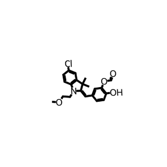 COCCN1/C(=C/c2ccc(O)c(OC=O)c2)C(C)(C)c2cc(Cl)ccc21